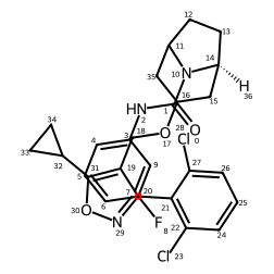 O=C(Nc1cccc(F)c1)N1C2CC[C@H]1CC(OCc1c(-c3c(Cl)cccc3Cl)noc1C1CC1)C2